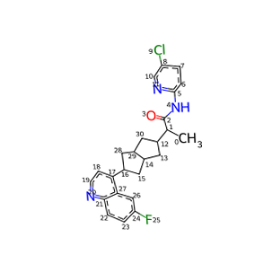 CC(C(=O)Nc1ccc(Cl)cn1)C1CC2CC(c3ccnc4ccc(F)cc34)CC2C1